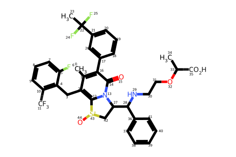 Cc1c(Cc2c(F)cccc2C(F)(F)F)c2n(c(=O)c1-c1cccc(C(C)(F)F)c1)C(C(NCCOC(C)C(=O)O)c1ccccc1)C[S+]2[O-]